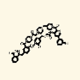 CCc1cccc(-c2cnc(C(=O)N3CCC(CN4CCN(CC(=O)N5CCN(C(=O)c6cc(Cc7n[nH]c(=O)c8ccccc78)ccc6F)CC5)CC4)CC3)c(NC(=O)CNCc3ccn(C)c(=O)c3)c2)c1